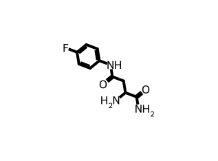 NC(=O)C(N)CC(=O)Nc1ccc(F)cc1